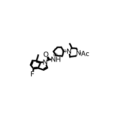 CC(=O)N1CCN([C@H]2CCC[C@@H](NC(=O)n3ccc4c(F)ccc(C)c43)C2)C(C)C1